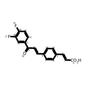 O=C(O)/C=C/c1ccc(/C=C/C(=O)c2ccc(F)c(F)c2)cc1